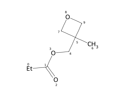 CCC(=O)OCC1(C)COC1